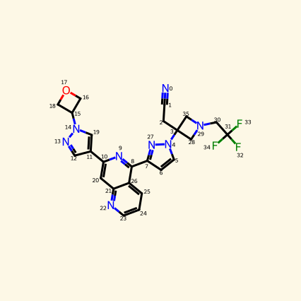 N#CCC1(n2ccc(-c3nc(-c4cnn(C5COC5)c4)cc4ncccc34)n2)CN(CC(F)(F)F)C1